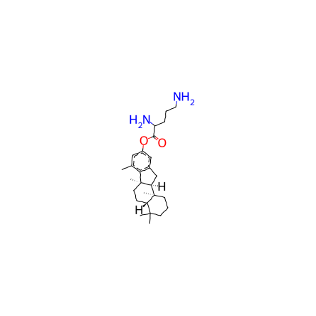 Cc1cc(OC(=O)C(N)CCCN)cc2c1[C@]1(C)CC[C@H]3C(C)(C)CCC[C@]3(C)[C@@H]1C2